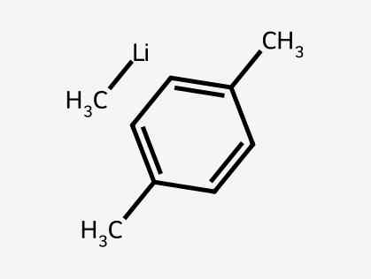 Cc1ccc(C)cc1.[Li][CH3]